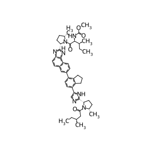 CC[C@H](C)CC(=O)N1[C@@H](C)CC[C@H]1c1ncc(-c2ccc(-c3ccc4c(ccc5nc([C@@H]6CC[C@H](C)N6C(=O)[C@@H](NC(=O)OC)[C@@H](C)CC)[nH]c54)c3)c3c2CCC3)[nH]1